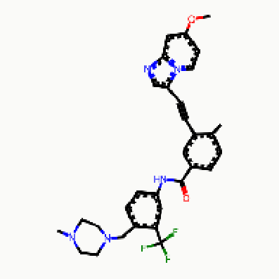 COc1ccn2c(C#Cc3cc(C(=O)Nc4ccc(CN5CCN(C)CC5)c(C(F)(F)F)c4)ccc3C)cnc2c1